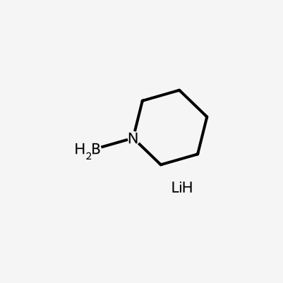 BN1CCCCC1.[LiH]